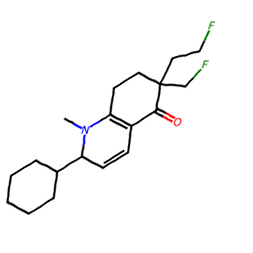 CN1C2=C(C=CC1C1CCCCC1)C(=O)C(CF)(CCF)CC2